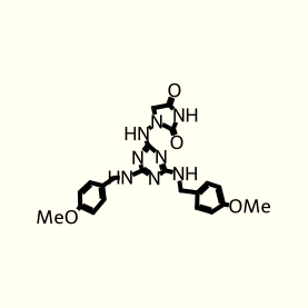 COc1ccc(CNc2nc(NCc3ccc(OC)cc3)nc(NN3CC(=O)NC3=O)n2)cc1